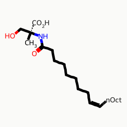 CCCCCCCC/C=C\CCCCCCCC(=O)N[C@@](C)(CO)C(=O)O